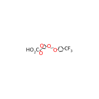 O=C(O)C(=O)c1cc(OCCOc2ccc(C(F)(F)F)cc2)co1